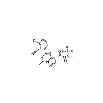 Cc1cc(-c2cccc(F)c2C#N)nc2c(C(=O)N[C@@H](C)C(F)(F)F)cnn12